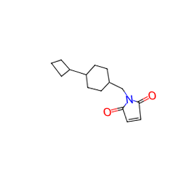 O=C1C=CC(=O)N1CC1CCC(C2CCC2)CC1